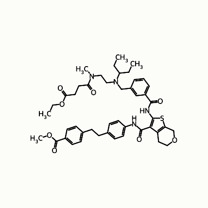 CCOC(=O)CCC(=O)N(C)CCN(Cc1cccc(C(=O)Nc2sc3c(c2C(=O)Nc2ccc(CCc4ccc(C(=O)OC)cc4)cc2)CCOC3)c1)C(CC)CC